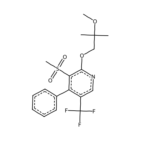 COC(C)(C)COc1ncc(C(F)(F)F)c(-c2ccccc2)c1S(C)(=O)=O